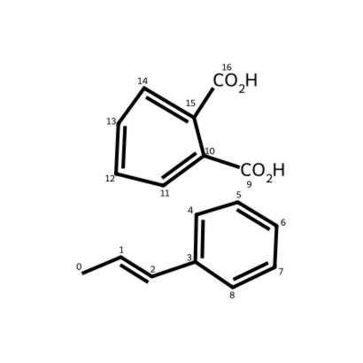 CC=Cc1ccccc1.O=C(O)c1ccccc1C(=O)O